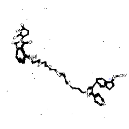 O=C1CCC(N2C(=O)c3cccc(NCCOCCOCCOCCOCCCn4cc(-c5ccc6c(c5)CC/C6=N\O)c(-c5ccncc5)n4)c3C2=O)C(=O)N1